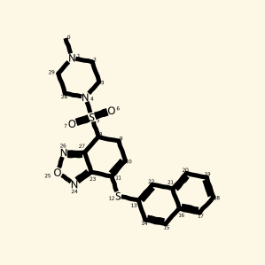 CN1CCN(S(=O)(=O)C2CC=C(Sc3ccc4ccccc4c3)c3nonc32)CC1